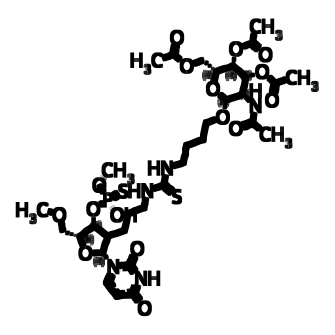 COC[C@H]1O[C@@H](n2ccc(=O)[nH]c2=O)C(CCCNC(=S)NCCCCO[C@@H]2O[C@H](COC(C)=O)[C@H](OC(C)=O)[C@H](OC(C)=O)[C@H]2NC(C)=O)[C@H]1OP(O)(=S)OC